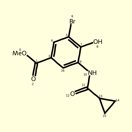 COC(=O)c1cc(Br)c(O)c(NC(=O)C2CC2)c1